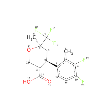 Cc1c([C@@H]2C[C@](C)(C(F)(F)F)OC[C@H]2C(=O)O)ccc(F)c1F